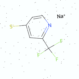 FC(F)(F)c1cc([S-])ccn1.[Na+]